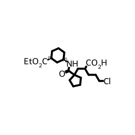 CCOC(=O)[C@H]1CCC[C@@H](NC(=O)C2(CC(CCCCl)C(=O)O)CCCC2)C1